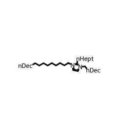 CCCCCCCCCCCCCCCCCCC[n+]1ccn(CCCCCCCCCCC)c1CCCCCCC